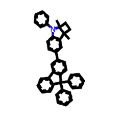 CC12CCC1(C)N(c1ccccc1)c1ccc(-c3ccc4c(c3)-c3ccccc3C4(c3ccccc3)c3ccccc3)cc12